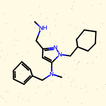 CNCc1cc(N(C)Cc2ccccc2)n(CC2CCCCC2)n1